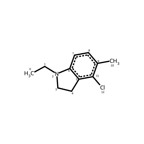 CCN1CCc2c1ccc(C)c2Cl